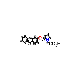 O=C(O)CN1CCC[C@H]1COc1ccc(CC2=CC=CCC2)cc1